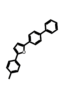 Cc1ccc(-c2ccc(-c3ccc(-c4ccccc4)cc3)o2)cc1